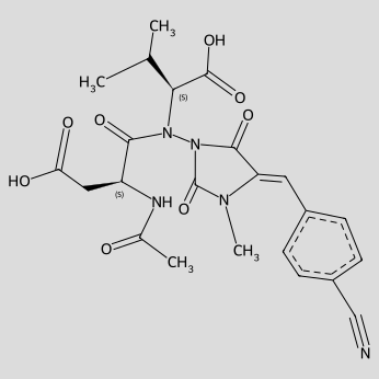 CC(=O)N[C@@H](CC(=O)O)C(=O)N([C@H](C(=O)O)C(C)C)N1C(=O)C(=Cc2ccc(C#N)cc2)N(C)C1=O